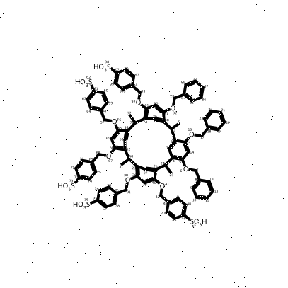 CC1c2cc(c(OCc3ccccc3)cc2OCc2ccccc2)C(C)c2cc(c(OCc3ccc(S(=O)(=O)O)cc3)cc2OCc2ccc(S(=O)(=O)O)cc2)C(C)c2cc(c(OCc3ccc(S(=O)(=O)O)cc3)cc2OCc2ccc(S(=O)(=O)O)cc2)C(C)c2cc1c(OCc1ccccc1)cc2OCc1ccc(S(=O)(=O)O)cc1